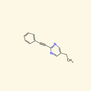 CCc1cnc(C#Cc2ccccc2)nc1